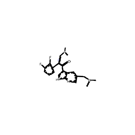 CN(C)/C=C(\C(=O)c1c[nH]c2ncc(CN(C)C)cc12)c1cccc(F)c1F